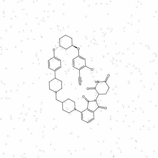 N#Cc1ccc(O[C@@H]2CCC[C@@H](Oc3ccc(C4CCN(CC5CCN(c6cccc7c6C(=O)N(C6CCC(=O)NC6=O)C7=O)CC5)CC4)cc3)C2)cc1Cl